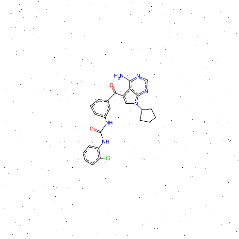 Nc1ncnc2c1c(C(=O)c1cccc(NC(=O)Nc3ccccc3Cl)c1)cn2C1CCCC1